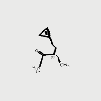 CC(=O)[C@H](C)CC1=CC1